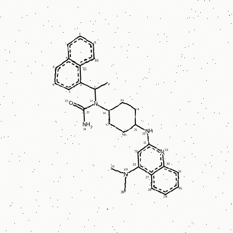 CC(c1cccc2ccccc12)N(C(N)=O)C1CCC(Nc2cc(N(C)C)c3ccccc3n2)CC1